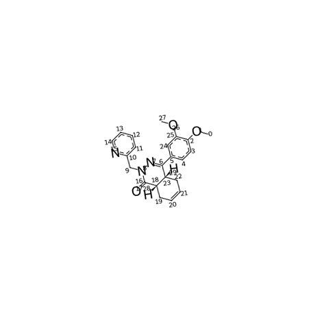 COc1ccc(C2=NN(Cc3ccccn3)C(=O)[C@H]3CC=CC[C@@H]23)cc1OC